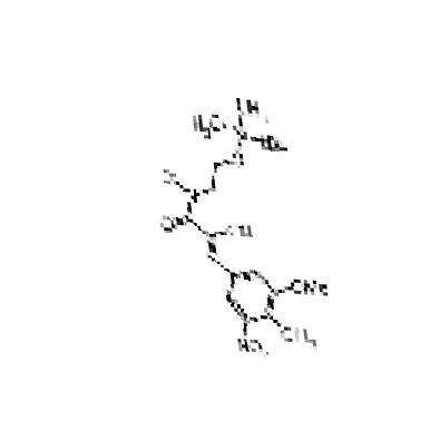 CCN(CCO[Si](C)(C)C(C)(C)C)C(=O)/C(C#N)=C/c1cc(OC)c(C)c([N+](=O)[O-])c1